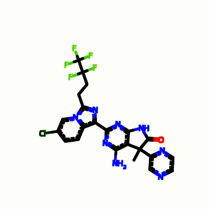 CC1(c2cnccn2)C(=O)Nc2nc(-c3nc(CCC(F)(F)C(F)(F)F)n4cc(Cl)ccc34)nc(N)c21